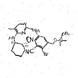 Cc1cnc(Nc2cc(C#N)c(Br)c(CO[Si](C)(C)C(C)(C)C)c2)nc1N[C@@H]1CCCC[C@H]1C#N